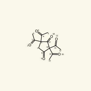 CC(=O)C1(C(C)=O)CC(=O)C(C(C)=O)(C(C)=O)C1=O